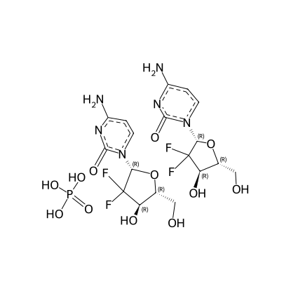 Nc1ccn([C@@H]2O[C@H](CO)[C@@H](O)C2(F)F)c(=O)n1.Nc1ccn([C@@H]2O[C@H](CO)[C@@H](O)C2(F)F)c(=O)n1.O=P(O)(O)O